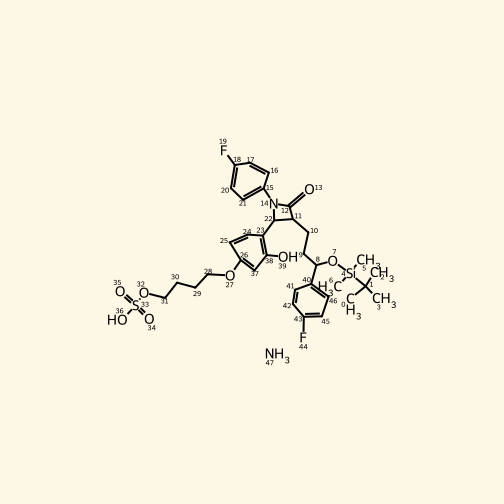 CC(C)(C)[Si](C)(C)OC(CCC1C(=O)N(c2ccc(F)cc2)C1c1ccc(OCCCCOS(=O)(=O)O)cc1O)c1ccc(F)cc1.N